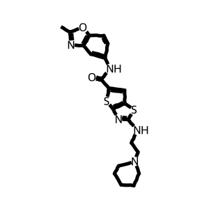 Cc1nc2cc(NC(=O)c3cc4sc(NCCN5CCCCC5)nc4s3)ccc2o1